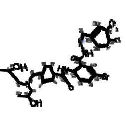 CC(O)CN(Cc1ccc(C(=O)Nc2ccc(Br)cc2C(=O)N/N=C\c2ccc(Cl)c(C(F)(F)F)c2)cc1)CC(C)O